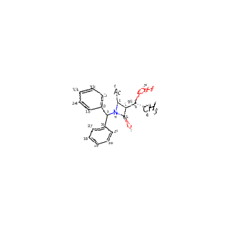 CC(=O)C1C([C@@H](C)O)C(=O)N1C(c1ccccc1)c1ccccc1